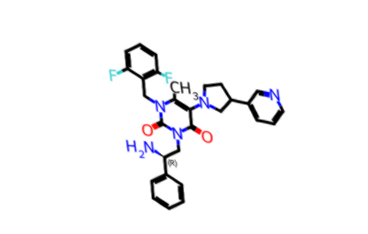 Cc1c(N2CCC(c3cccnc3)C2)c(=O)n(C[C@H](N)c2ccccc2)c(=O)n1Cc1c(F)cccc1F